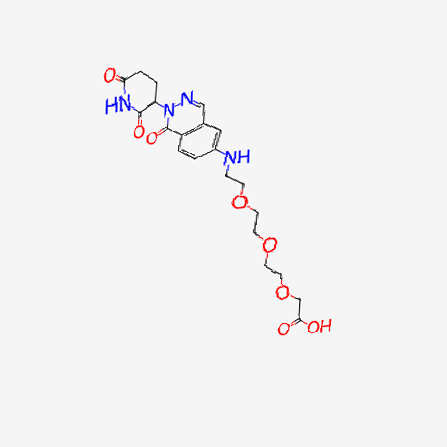 O=C(O)COCCOCCOCCNc1ccc2c(=O)n(C3CCC(=O)NC3=O)ncc2c1